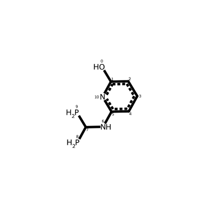 Oc1cccc(NC(P)P)n1